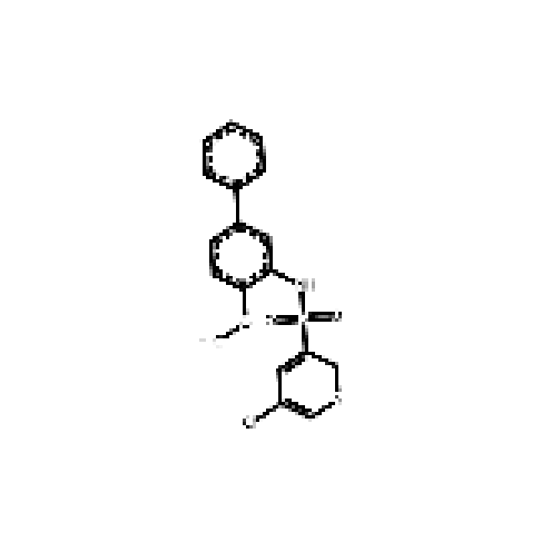 COc1ccc(-c2ccccc2)cc1NS(=O)(=O)C1=CC(Cl)=CNC1